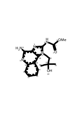 COC(=O)Nc1nc2c(N)nc3ccccc3c2n1CC(C)(C)O